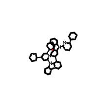 c1ccc(-c2cc(-c3ccccc3)nc(-n3c4ccccc4c4cccc(-c5ccc6c7ccccc7n(-c7cccc(-c8ccccc8)n7)c6c5)c43)c2)cc1